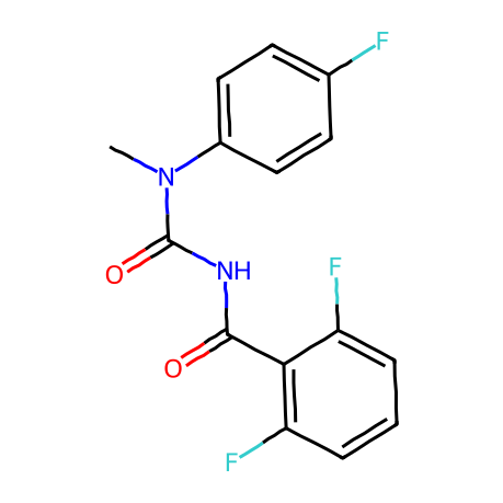 CN(C(=O)NC(=O)c1c(F)cccc1F)c1ccc(F)cc1